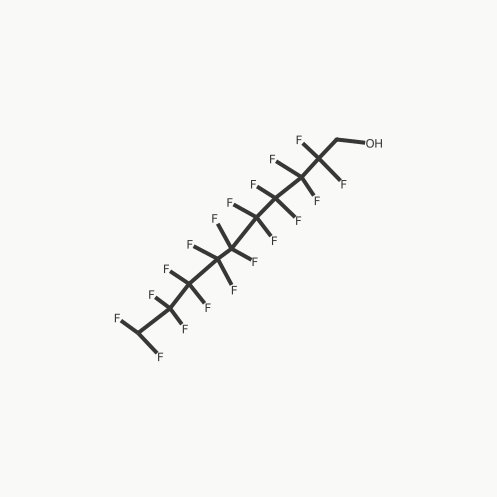 OCC(F)(F)C(F)(F)C(F)(F)C(F)(F)C(F)(F)C(F)(F)C(F)(F)C(F)(F)C(F)F